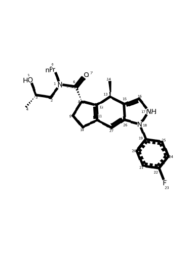 CCCN(C[C@H](C)O)C(=O)[C@H]1CCC2=C1[C@@H](C)C1=CNN(c3ccc(F)cc3)C1=C2